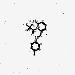 Cc1ccc(OCC2=CC=CC(N)N2C(=O)C(C)(C)C)cc1